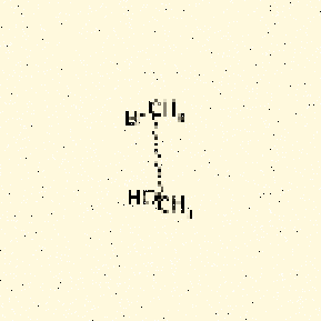 CC(O)CCCCCCCCCC(C)Br